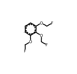 FCOc1[c]ccc(OCF)c1OCF